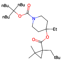 CCCCC(CCCC)(CCCC)OC(=O)N1CCC(CC)(OC(=O)C2(CC(C)(C)C)CC2(C)C)CC1